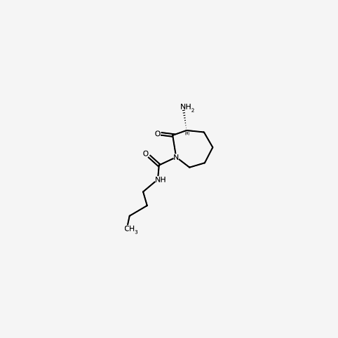 CCCCNC(=O)N1CCCC[C@@H](N)C1=O